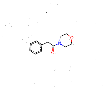 O=C([CH]c1ccccc1)N1CCOCC1